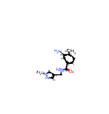 Cc1ccc(C(=O)NCc2cnn(C)c2)cc1N